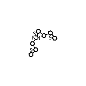 c1cc(-c2cnc3c(n2)sc2cccc(-c4cccc(-c5cccc6c5sc5ccccc56)c4)c23)cc(-c2cccc3c2sc2ccccc23)c1